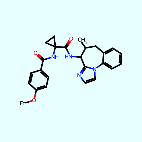 CCOc1ccc(C(=O)NC2(C(=O)NC3c4nccn4-c4ccccc4CC3C)CC2)cc1